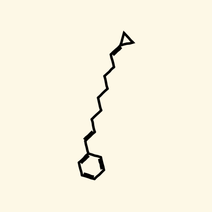 C(=Cc1ccccc1)CCCCCCC=C1CC1